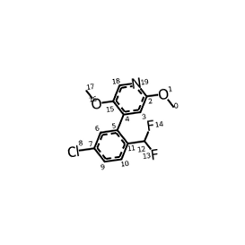 COc1cc(-c2cc(Cl)ccc2C(F)F)c(OC)cn1